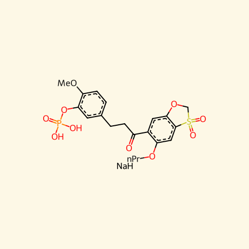 CCCOc1cc2c(cc1C(=O)CCc1ccc(OC)c(OP(=O)(O)O)c1)OCS2(=O)=O.[NaH]